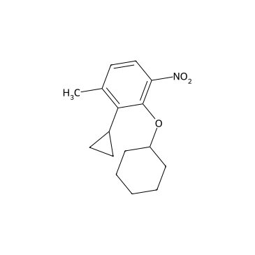 Cc1ccc([N+](=O)[O-])c(OC2CCCCC2)c1C1CC1